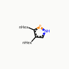 CCCCCCc1c[nH]pc1CCCCCC